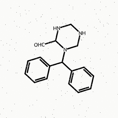 O=CC1NCNCN1C(c1ccccc1)c1ccccc1